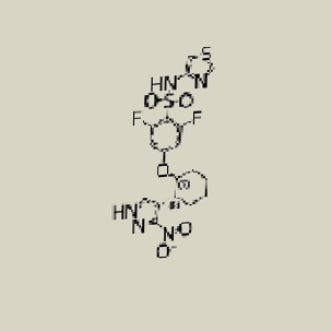 O=[N+]([O-])c1n[nH]cc1[C@H]1CCCC[C@@H]1Oc1cc(F)c(S(=O)(=O)Nc2cscn2)c(F)c1